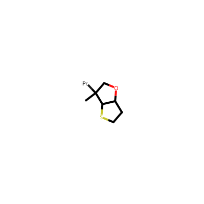 CC(C)C1(C)COC2CCSC21